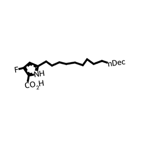 CCCCCCCCCCCCCCCCCCCc1cc(F)c(C(=O)O)[nH]1